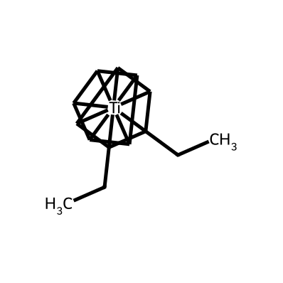 CC[C]12[CH]3[CH]4[CH]5[C]1(CC)[Ti]43521678[CH]2[CH]1[CH]6[CH]7[CH]28